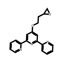 c1ccc(-c2cc(OCCC3CO3)cc(-c3ccccn3)n2)nc1